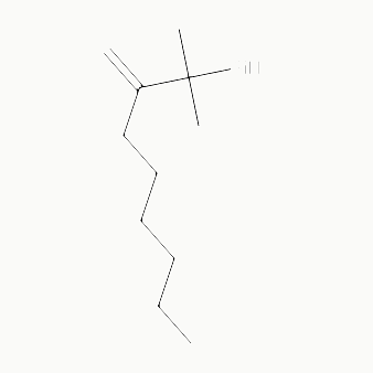 C=C(CCCCCC)C(C)(C)[SiH3]